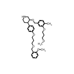 COCCCOc1cc(COC2CNCCC2c2ccc(OCCCOCc3ccccc3OC)cc2)ccc1C